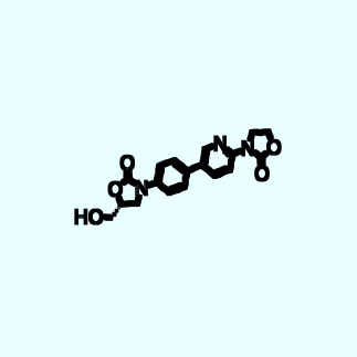 O=C1O[C@@H](CO)CN1c1ccc(-c2ccc(N3CCOC3=O)nc2)cc1